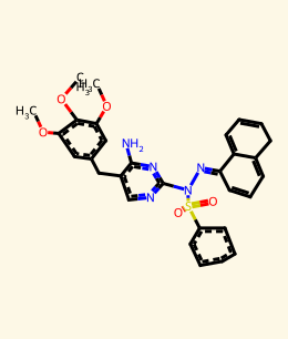 COc1cc(Cc2cnc(N(N=C3C=CC=C4CC=CC=C43)S(=O)(=O)c3ccccc3)nc2N)cc(OC)c1OC